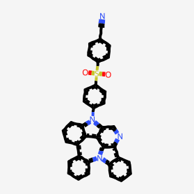 N#Cc1ccc(S(=O)(=O)c2ccc(-n3c4cccc5c6ccccc6n6c7ccccc7c7ncc3c(c54)c76)cc2)cc1